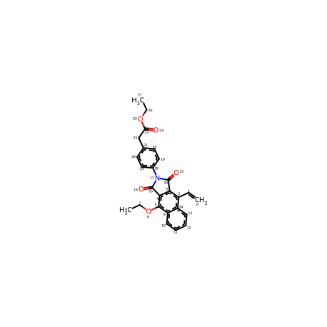 C=Cc1c2c(c(OCC)c3ccccc13)C(=O)N(c1ccc(CC(=O)OCC)cc1)C2=O